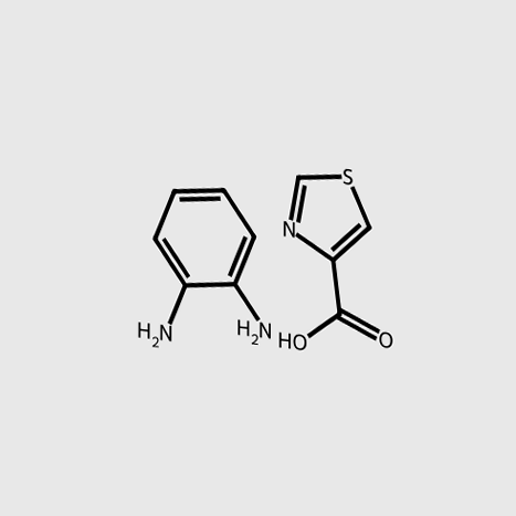 Nc1ccccc1N.O=C(O)c1cscn1